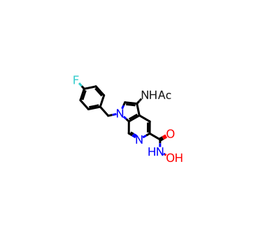 CC(=O)Nc1cn(Cc2ccc(F)cc2)c2cnc(C(=O)NO)cc12